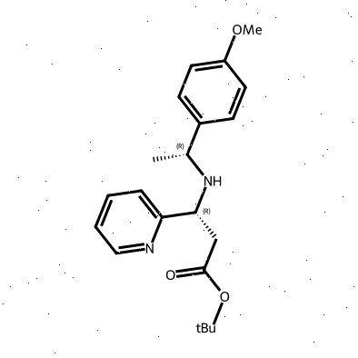 COc1ccc([C@@H](C)N[C@H](CC(=O)OC(C)(C)C)c2ccccn2)cc1